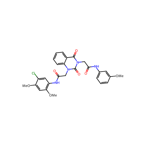 COc1cccc(NC(=O)Cn2c(=O)c3ccccc3n(CC(=O)Nc3cc(Cl)c(OC)cc3OC)c2=O)c1